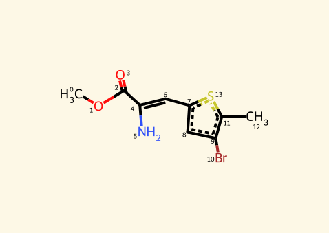 COC(=O)/C(N)=C/c1cc(Br)c(C)s1